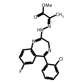 COC(=O)/C(C)=N\NC1=Nc2ccc(F)cc2C(c2ccccc2Cl)=NC1